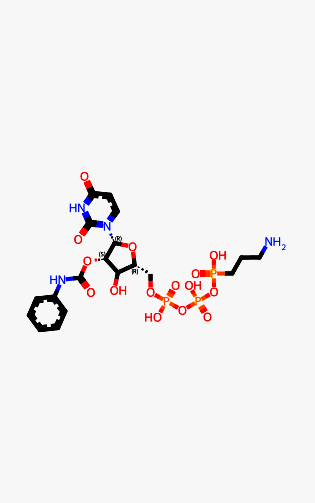 NCCCP(=O)(O)OP(=O)(O)OP(=O)(O)OC[C@H]1O[C@@H](n2ccc(=O)[nH]c2=O)[C@@H](OC(=O)Nc2ccccc2)C1O